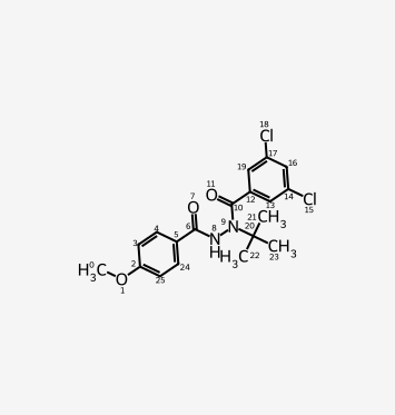 COc1ccc(C(=O)NN(C(=O)c2cc(Cl)cc(Cl)c2)C(C)(C)C)cc1